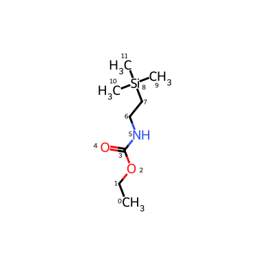 CCOC(=O)NCC[Si](C)(C)C